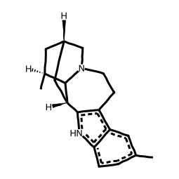 Cc1ccc2[nH]c3c(c2c1)CCN1C[C@H]2C[C@H](C)C1[C@H]3C2